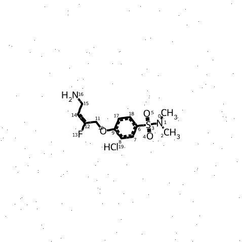 CN(C)S(=O)(=O)c1ccc(OC/C(F)=C\CN)cc1.Cl